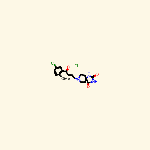 COc1ccc(Cl)cc1C(=O)CCCN1CCC2(CC1)NC(=O)NC2=O.Cl